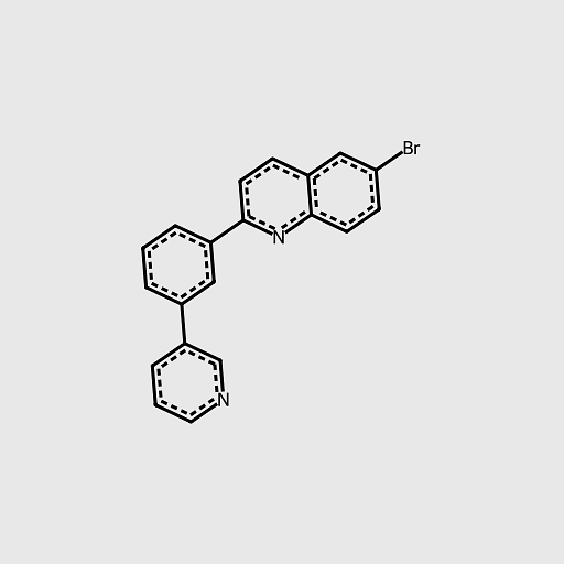 Brc1ccc2nc(-c3cccc(-c4cccnc4)c3)ccc2c1